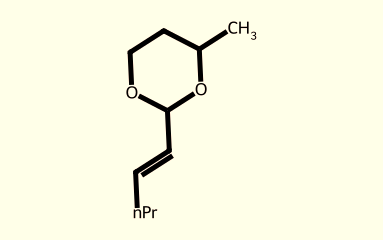 CCCC=CC1OCCC(C)O1